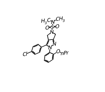 CCCOc1ccccc1-n1nc2c(c1-c1ccc(Cl)cc1)CN(S(=O)(=O)N(C)C)C2